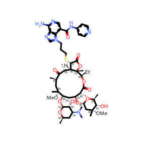 CC[C@H]1OC(=O)[C@H](C)[C@@H](O[C@H]2C[C@@](C)(OC)[C@@H](O)[C@H](C)O2)[C@H](C)[C@@H](O[C@@H]2O[C@H](C)C[C@H](N(C)C)[C@H]2O)[C@](C)(OC)C[C@@H](C)C(=O)[C@H](C)[C@H]2[C@H](SCCCn3cnc4c(N)ncc(C(=O)Nc5ccncc5)c43)C(=O)O[C@@]21C